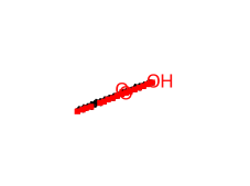 CCCCCCCCC=CCCCCCCCCCCCC(=O)OCCCCCCCCCCCCO